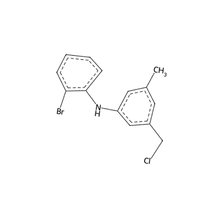 Cc1cc(CCl)cc(Nc2ccccc2Br)c1